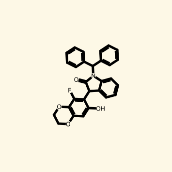 O=C1C(c2c(O)cc3c(c2F)OCCO3)c2ccccc2N1C(c1ccccc1)c1ccccc1